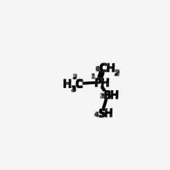 C=[PH](C)BS